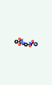 CN(C)C(=O)C(C(=O)NCc1ccc(-c2nc(C(=O)N3CCCCC3)co2)cc1)c1ccccc1